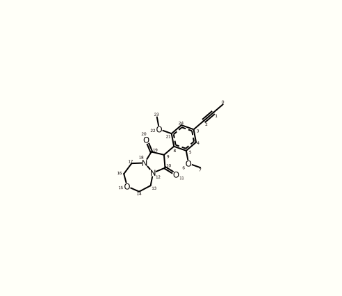 CC#Cc1cc(OC)c(C2C(=O)N3CCOCCN3C2=O)c(OC)c1